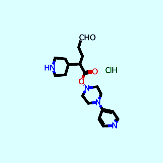 Cl.O=CCCC(C(=O)ON1CCN(c2ccncc2)CC1)C1CCNCC1